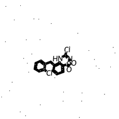 O=S1(=O)N=C(Cl)Nc2c(Cc3ccccc3Cl)cccc21